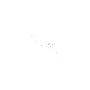 Cc1c2nc(NCC(=O)NCCN3CCOCC3)sc2cc2sc(NCC(=O)NCCN3CCOCC3)nc12